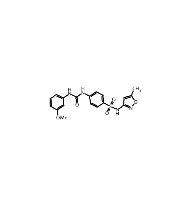 COc1cccc(NC(=O)Nc2ccc(S(=O)(=O)Nc3cc(C)on3)cc2)c1